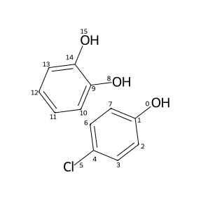 Oc1ccc(Cl)cc1.Oc1ccccc1O